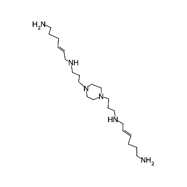 NCCCC=CCNCCCN1CCN(CCCNCC=CCCCN)CC1